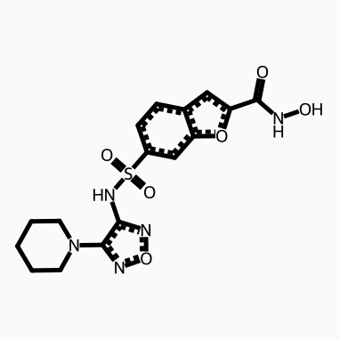 O=C(NO)c1cc2ccc(S(=O)(=O)Nc3nonc3N3CCCCC3)cc2o1